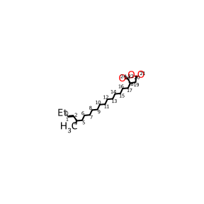 CCC=CC(C)CCCCCCCCCCCCCC1CC(=O)OC1=O